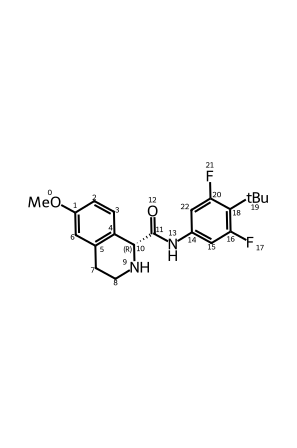 COc1ccc2c(c1)CCN[C@H]2C(=O)Nc1cc(F)c(C(C)(C)C)c(F)c1